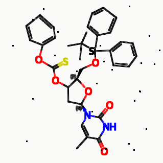 Cc1cn([C@H]2CC(OC(=S)Oc3ccccc3)[C@@H](CO[Si](c3ccccc3)(c3ccccc3)C(C)(C)C)O2)c(=O)[nH]c1=O